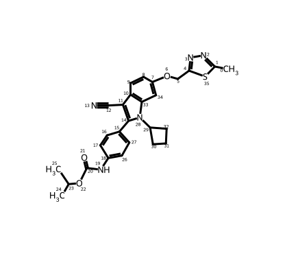 Cc1nnc(COc2ccc3c(C#N)c(-c4ccc(NC(=O)OC(C)C)cc4)n(C4CCC4)c3c2)s1